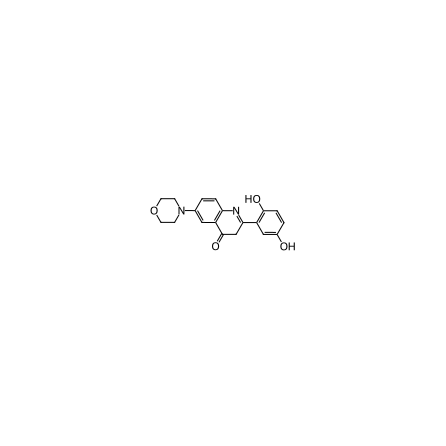 O=C1CC(c2cc(O)ccc2O)=Nc2ccc(N3CCOCC3)cc21